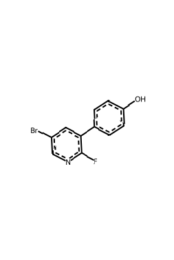 Oc1ccc(-c2cc(Br)cnc2F)cc1